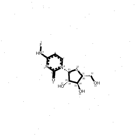 O=c1nc(NF)ccn1[C@@H]1S[C@H](CO)[C@@H](O)[C@@H]1O